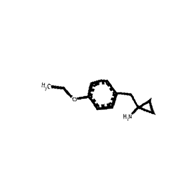 CCOc1ccc(CC2(N)CC2)cc1